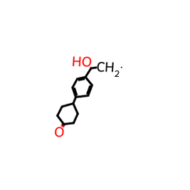 [CH2]C(O)c1ccc(C2CCC(=O)CC2)cc1